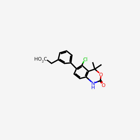 CC1(C)OC(=O)Nc2ccc(-c3cccc(CC(=O)O)c3)c(Cl)c21